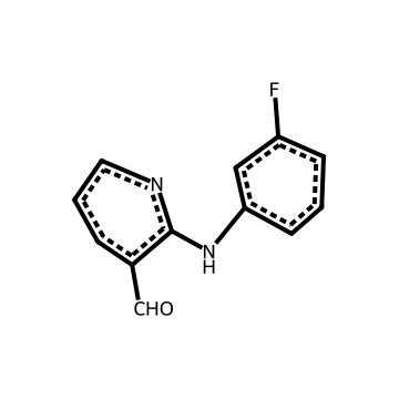 O=Cc1cccnc1Nc1cccc(F)c1